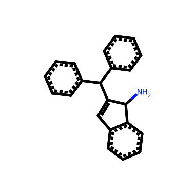 NC1C(C(c2ccccc2)c2ccccc2)=Cc2ccccc21